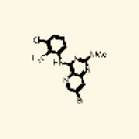 CNc1nc(Nc2cccc(Cl)c2C)c2ncc(Br)cc2n1